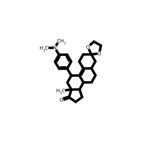 CN(C)c1ccc(C2CC3(C)C(=O)CCC3C3CCC4CC5(CCC4=C23)OCCO5)cc1